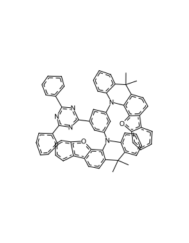 CC1(C)c2ccccc2N(c2cc(-c3nc(-c4ccccc4)nc(-c4ccccc4)n3)cc(N3c4ccccc4C(C)(C)c4ccc5c(oc6ccccc65)c43)c2)c2c1ccc1c2oc2ccccc21